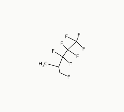 CC(CF)C(F)(F)C(F)(F)C(F)(F)F